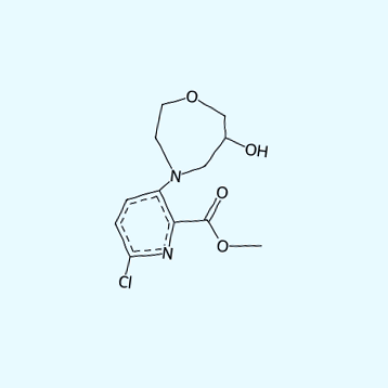 COC(=O)c1nc(Cl)ccc1N1CCOCC(O)C1